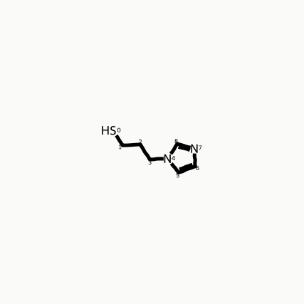 SCCCn1ccnc1